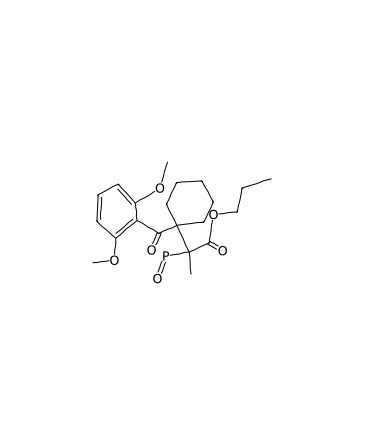 CCCOC(=O)C(C)(P=O)C1(C(=O)c2c(OC)cccc2OC)CCCCC1